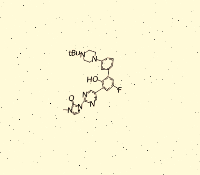 Cn1ccn(-c2ncc(-c3cc(F)cc(-c4cccc(N5CCN(C(C)(C)C)CC5)c4)c3O)cn2)c1=O